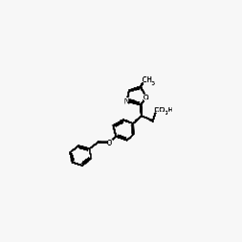 Cc1cnc(C(CC(=O)O)c2ccc(OCc3ccccc3)cc2)o1